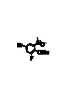 COc1c(F)cc(Br)cc1[S+](C)[O-]